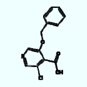 O=C(O)c1c(Cl)cncc1OCc1ccccc1